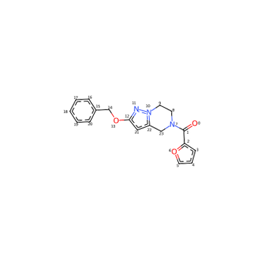 O=C(c1ccco1)N1CCn2nc(OCc3ccccc3)cc2C1